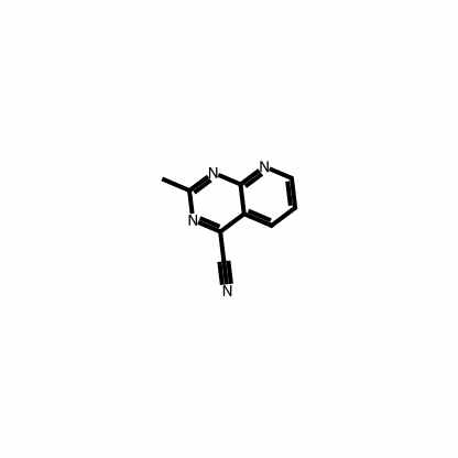 Cc1nc(C#N)c2cccnc2n1